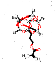 C=C(C)C(=O)OCCC[Si]12O[Si]3(CC)O[Si]4(CC)O[Si]5(CC)O[Si](CC)(O3)O[Si](CC)(O[Si](CC)(O5)O[Si](CC)(O4)O1)O2